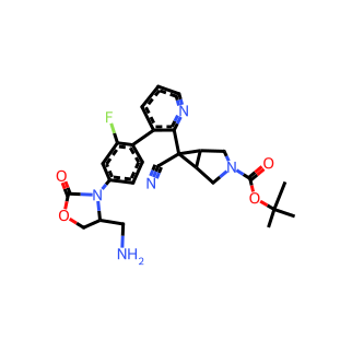 CC(C)(C)OC(=O)N1CC2C(C1)C2(C#N)c1ncccc1-c1ccc(N2C(=O)OCC2CN)cc1F